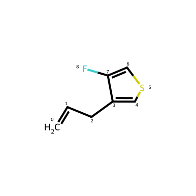 C=CCc1cscc1F